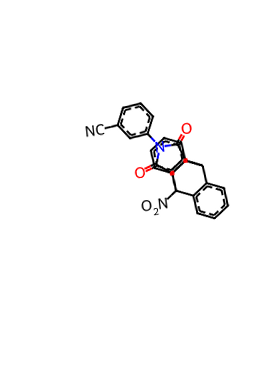 N#Cc1cccc(N2C(=O)C3=C(C2=O)C2([N+](=O)[O-])c4ccccc4C3c3ccccc32)c1